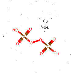 O=S(=O)(O)OOS(=O)(=O)O.[Cu].[NaH]